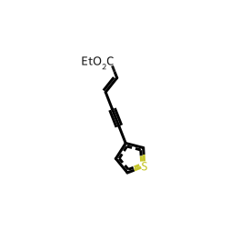 CCOC(=O)C=CC#Cc1ccsc1